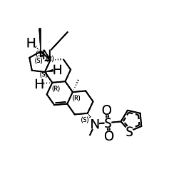 C[C@H]1[C@H]2CC[C@H]3[C@@H]4CC=C5C[C@@H](N(C)S(=O)(=O)c6cccs6)CC[C@]5(C)C4CC[C@]23CN1C